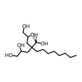 CCCCCCCCC(CC(O)CO)(CC(O)CO)C(=O)O